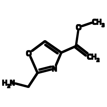 C=C(OC)c1coc(CN)n1